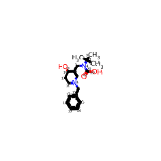 CC(C)(C)N(CC1CN(Cc2ccccc2)CCC1O)C(=O)O